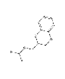 FC(F)OCC1COc2ccccc2O1